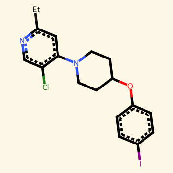 CCc1cc(N2CCC(Oc3ccc(I)cc3)CC2)c(Cl)cn1